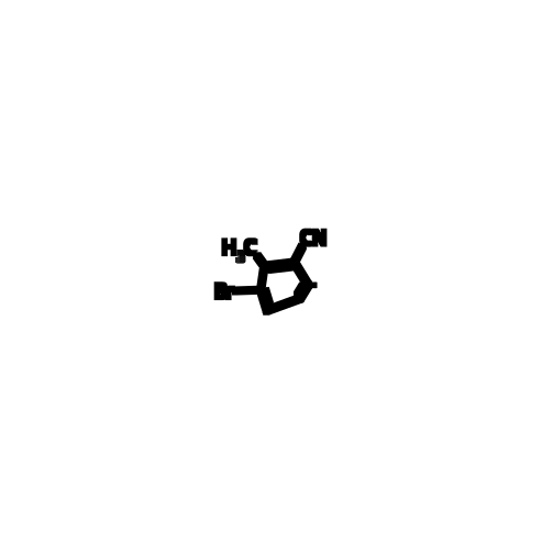 Cc1c(C#N)[c]ccc1Br